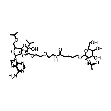 CC(=O)N[C@H]1C(OCCCCC(=O)NCCOCCOCO[C@H]2C(n3cnc4c(N)ncnc43)OC(COC(C)C)[C@H]2OP(=O)(O)C(C)C)OC(CO)C(O)C1O